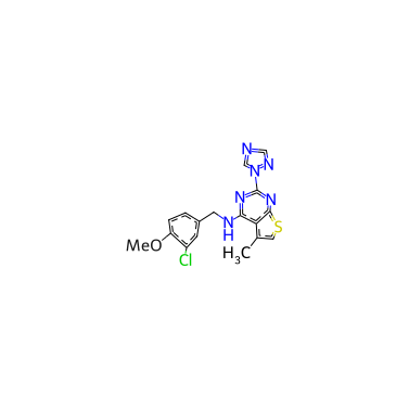 COc1ccc(CNc2nc(-n3cncn3)nc3scc(C)c23)cc1Cl